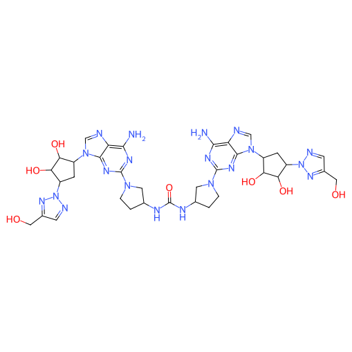 Nc1nc(N2CCC(NC(=O)NC3CCN(c4nc(N)c5ncn(C6CC(n7ncc(CO)n7)C(O)C6O)c5n4)C3)C2)nc2c1ncn2C1CC(n2ncc(CO)n2)C(O)C1O